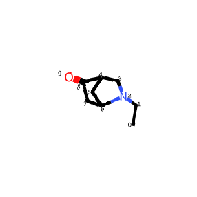 CCN1CC2CC1CC2=O